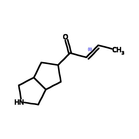 C/C=C/C(=O)C1CC2CNCC2C1